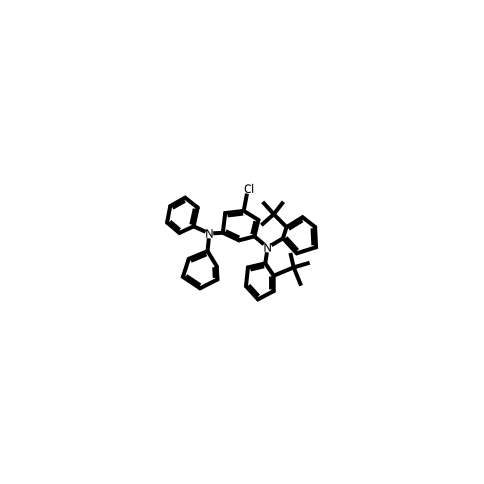 CC(C)(C)c1ccccc1N(c1cc(Cl)cc(N(c2ccccc2)c2ccccc2)c1)c1ccccc1C(C)(C)C